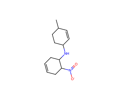 CC1C=CC(NC2CC=CCC2[N+](=O)[O-])CC1